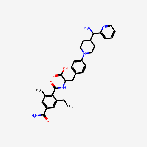 CCc1cc(C(N)=O)cc(C)c1C(=O)NC(Cc1ccc(N2CCC(C(N)c3ccccn3)CC2)cc1)C(=O)O